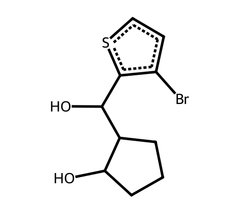 OC1CCCC1C(O)c1sccc1Br